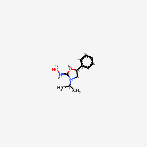 CC(C)N1CC(c2ccccc2)OC1=NO